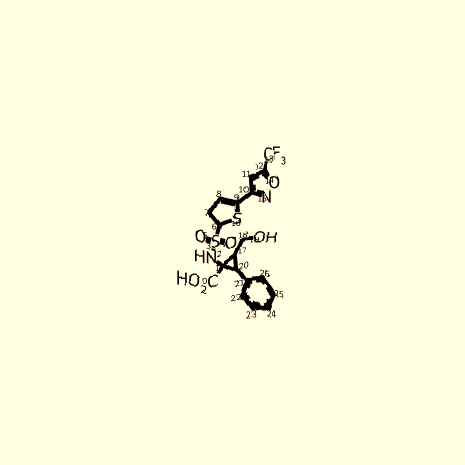 O=C(O)C1(NS(=O)(=O)C2CC=C(c3cc(C(F)(F)F)on3)S2)C(CO)C1c1ccccc1